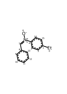 CCc1ccc(/[N+]([O-])=C\c2ccccc2)cc1